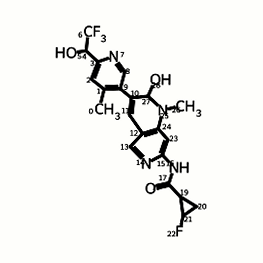 Cc1cc(C(O)C(F)(F)F)ncc1C1=Cc2cnc(NC(=O)C3CC3F)cc2N(C)C1O